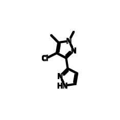 Cc1c(Cl)c(-c2cc[nH]n2)nn1C